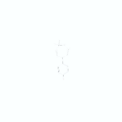 CC1(C)C=CC(c2ccc(O)cc2)CCC1